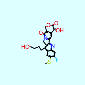 CSc1cc2c(CCCCO)c3c(nc2cc1F)-c1cc2c(c(=O)n1C3)COC(=O)[C@H]2O